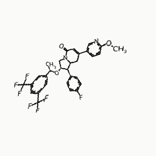 COc1ccc(C2=CC(=O)N3C[C@H](O[C@H](C)c4cc(C(F)(F)F)cc(C(F)(F)F)c4)C(c4ccc(F)cc4)C3C2)cn1